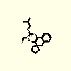 CC1=C(/N=C(/SCC(C)C)N(C)C=O)c2ccccc2CC12CCCC2